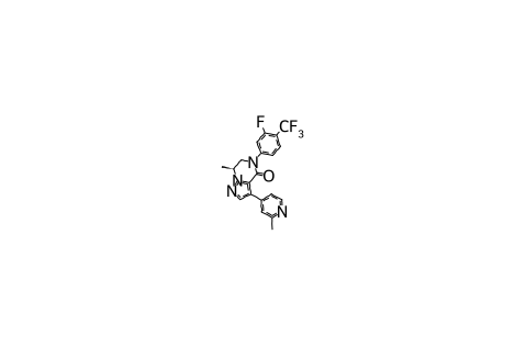 Cc1cc(-c2cnn3c2C(=O)N(c2ccc(C(F)(F)F)c(F)c2)C[C@@H]3C)ccn1